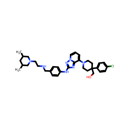 CC1CC(C)CN(CCNCc2ccc(Nc3nc4c(N5CCC(CO)(c6ccc(Cl)cc6)CC5)cccn4n3)cc2)C1